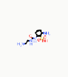 NCCNC(=O)Nc1cccc(N)c1S(=O)(=O)O